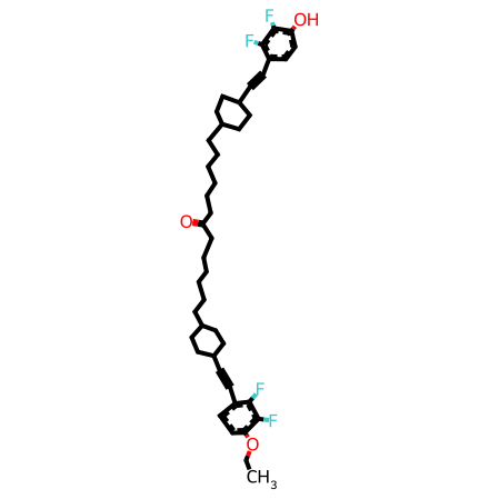 CCOc1ccc(C#CC2CCC(CCCCCCC(=O)CCCCCCC3CCC(C#Cc4ccc(O)c(F)c4F)CC3)CC2)c(F)c1F